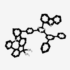 CC1(C)c2cccc3c2-c2c1ccc1c4c(-c5ccc(-c6nc(-c7cc(-c8ccccc8)cc(-c8ccccc8)c7)nc(-c7cccc8c7sc7ccccc78)n6)cc5)cccc4n(c21)-c1ccccc1-3